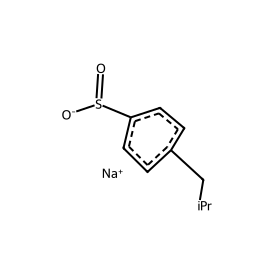 CC(C)Cc1ccc(S(=O)[O-])cc1.[Na+]